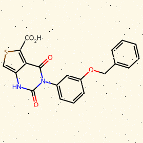 O=C(O)c1scc2[nH]c(=O)n(-c3cccc(OCc4ccccc4)c3)c(=O)c12